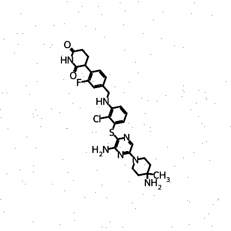 CC1(N)CCN(c2cnc(Sc3cccc(NCc4ccc(C5CCC(=O)NC5=O)c(F)c4)c3Cl)c(N)n2)CC1